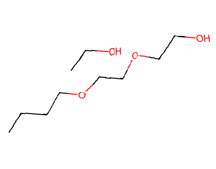 CCCCOCCOCCO.CCO